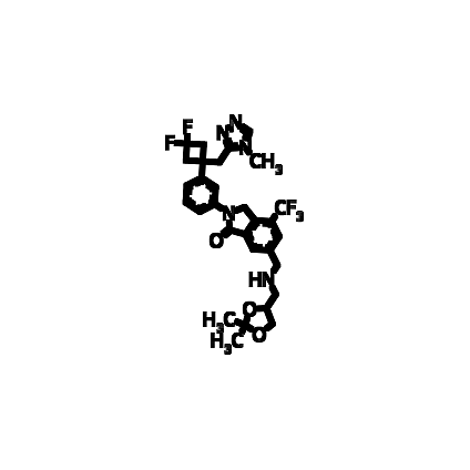 Cn1cnnc1CC1(c2cccc(N3Cc4c(cc(CNCC5COC(C)(C)O5)cc4C(F)(F)F)C3=O)c2)CC(F)(F)C1